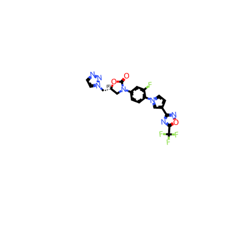 O=C1O[C@@H](Cn2ccnn2)CN1c1ccc(-n2ccc(-c3noc(C(F)(F)F)n3)c2)c(F)c1